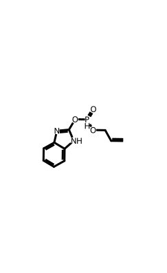 C=CCO[PH](=O)Oc1nc2ccccc2[nH]1